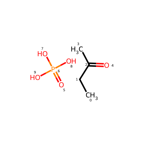 CCC(C)=O.O=P(O)(O)O